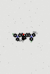 Cc1cccc(N(c2ccc(F)cc2)c2ccc3cc4c(cc3c2)C2(c3cc5cc(N(c6ccc(F)cc6)c6cccc(C)c6)ccc5cc3S4)C3CC4CC(C3)CC2C4)c1